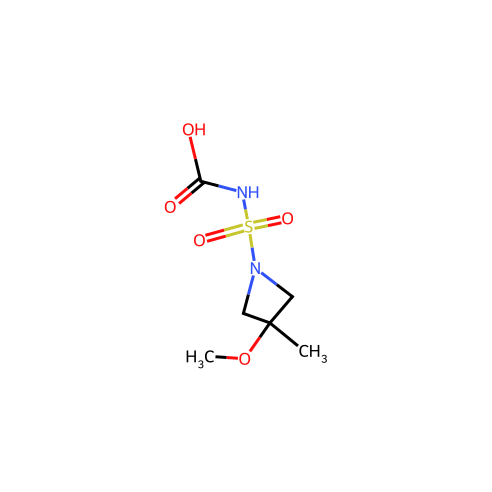 COC1(C)CN(S(=O)(=O)NC(=O)O)C1